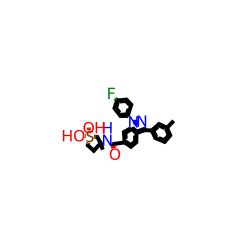 Cc1cccc(-c2nn(-c3ccc(F)cc3)c3cc(C(=O)NC4(C)CCS(O)(O)C4)ccc23)c1